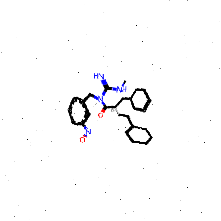 CNC(=N)N(Cc1cccc(N=O)c1)C(=O)[C@@H](CCC1CCCCC1)CC1CCCCC1